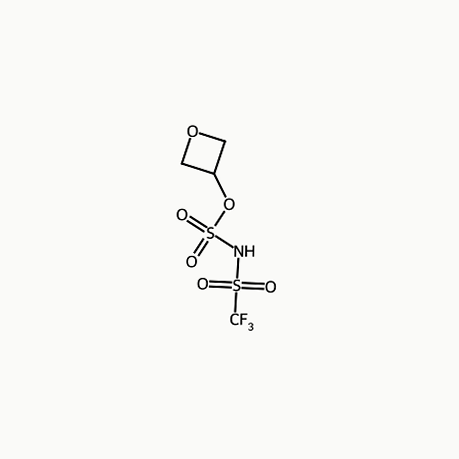 O=S(=O)(NS(=O)(=O)C(F)(F)F)OC1COC1